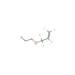 FC(F)=C(F)C(F)(F)OCCI